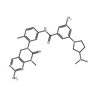 Cc1ccc(NC(=O)c2cc(N3CCC(N(C)C)C3)cc(C(F)(F)F)c2)cc1N1Cc2cnc(N)nc2N(C)C1=O